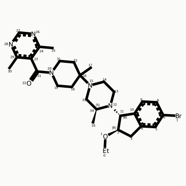 CCO[C@@H]1Cc2cc(Br)ccc2[C@H]1N1CCN(C2(C)CCN(C(=O)c3c(C)ncnc3C)CC2)C[C@@H]1C